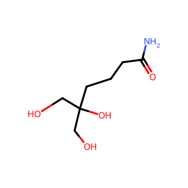 NC(=O)CCCC(O)(CO)CO